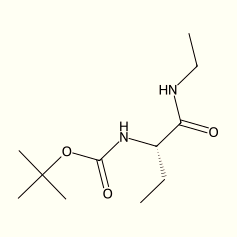 CCNC(=O)[C@H](CC)NC(=O)OC(C)(C)C